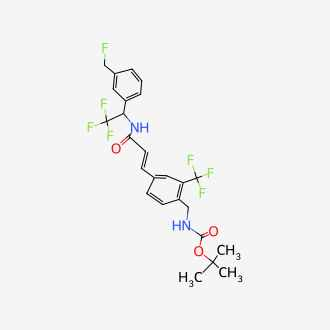 CC(C)(C)OC(=O)NCc1ccc(/C=C/C(=O)NC(c2cccc(CF)c2)C(F)(F)F)cc1C(F)(F)F